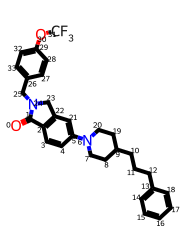 O=C1c2ccc(N3CCC(CCCc4ccccc4)CC3)cc2CN1Cc1ccc(OC(F)(F)F)cc1